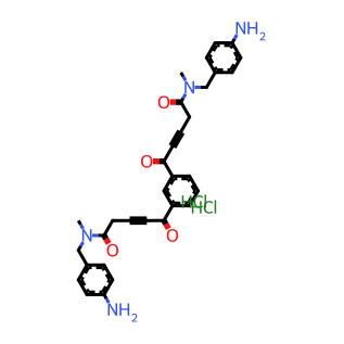 CN(Cc1ccc(N)cc1)C(=O)CC#CC(=O)c1cccc(C(=O)C#CCC(=O)N(C)Cc2ccc(N)cc2)c1.Cl.Cl